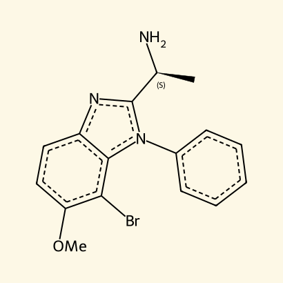 COc1ccc2nc([C@H](C)N)n(-c3ccccc3)c2c1Br